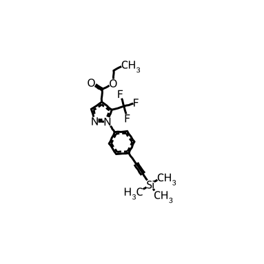 CCOC(=O)c1cnn(-c2ccc(C#C[Si](C)(C)C)cc2)c1C(F)(F)F